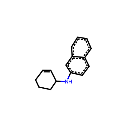 C1=CC(Nc2ccc3ccccc3c2)CCC1